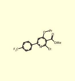 CCc1nc(-c2ccc(C(F)(F)F)cc2)cc(OC(C)C)c1C(=O)OC